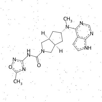 Cc1nc(NC(=O)N2C[C@H]3C[C@H](N(C)c4ncnc5[nH]ccc45)C[C@H]3C2)no1